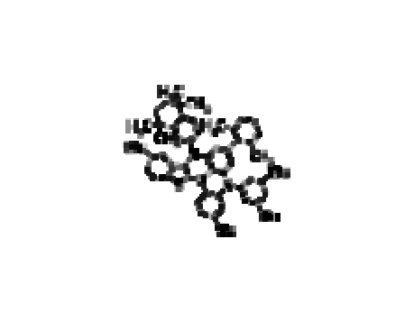 Cc1cccc(C)c1-c1cc2c3c(c1)N(c1ccc4c(c1)C(C)(C)CCC4(C)C)c1c(sc4ccc(C(C)(C)C)cc14)B3c1ccc(C(C)(C)C)cc1N2c1cc(C(C)(C)C)cc(C(C)(C)C)c1